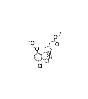 [2H]N1CC(CC(=O)OCC)CC1c1c(OCOC)ccc(Cl)c1Cl